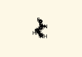 N#Cc1cn(Cc2cccc(F)c2)c2cc(-c3ccnc4[nH]c(C5CCNCC5)cc34)ccc12